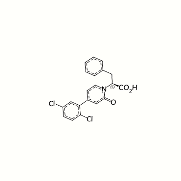 O=C(O)[C@H](Cc1ccccc1)n1ccc(-c2cc(Cl)ccc2Cl)cc1=O